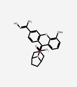 COc1cccc2c1Oc1cc(/C(N)=N/O)ccc1C2=C1CC2CCC(C1)N2C(=O)C(F)(F)F